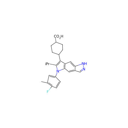 Cc1cc(-n2c(C(C)C)c(C3CCC(C(=O)O)CC3)c3cc4[nH]ncc4cc32)ccc1F